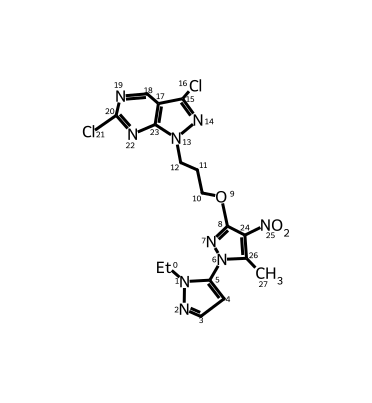 CCn1nccc1-n1nc(OCCCn2nc(Cl)c3cnc(Cl)nc32)c([N+](=O)[O-])c1C